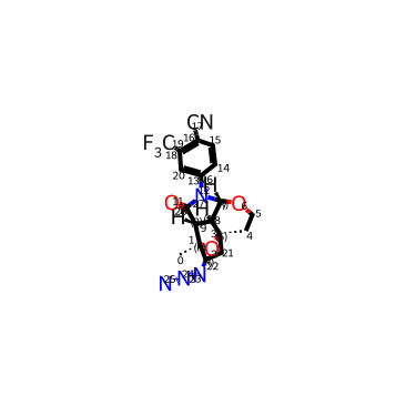 C[C@@]12O[C@]3(CCO[C@@H]4[C@H]3[C@H]1C(=O)N4c1ccc(C#N)c(C(F)(F)F)c1)C[C@H]2N=[N+]=[N-]